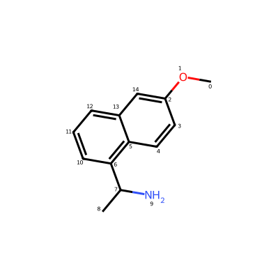 COc1ccc2c(C(C)N)cccc2c1